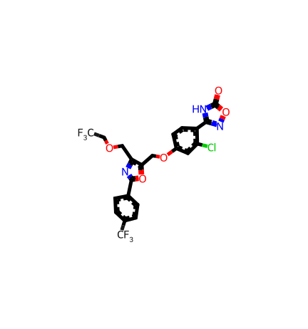 O=c1[nH]c(-c2ccc(OCc3oc(-c4ccc(C(F)(F)F)cc4)nc3COCC(F)(F)F)cc2Cl)no1